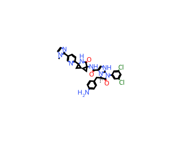 Cn1ccnc1-c1ccc(C2(NC(=O)C3(NC(=O)C4=CNC5N(c6cc(Cl)cc(Cl)c6)C(=O)[C@@](C)(Cc6ccc(N)cc6)N45)CC3)CC2)nc1